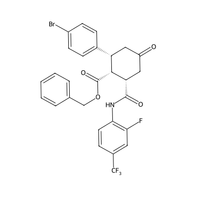 O=C1C[C@H](C(=O)Nc2ccc(C(F)(F)F)cc2F)[C@H](C(=O)OCc2ccccc2)[C@H](c2ccc(Br)cc2)C1